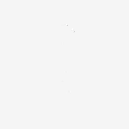 COc1ccc2c(=O)c(=O)c(=O)c2c1.NNC(=O)c1ccccc1.O